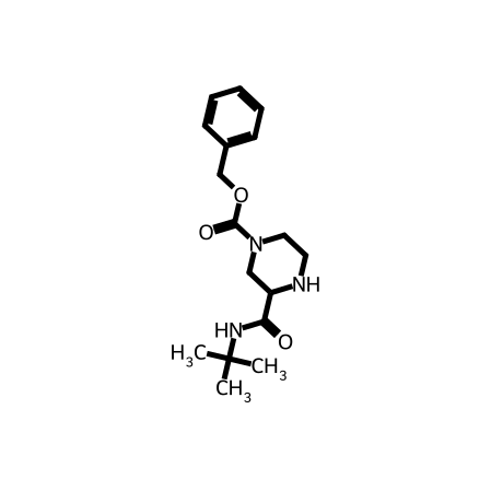 CC(C)(C)NC(=O)C1CN(C(=O)OCc2ccccc2)CCN1